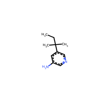 CCC(C)(C)c1cncc(N)c1